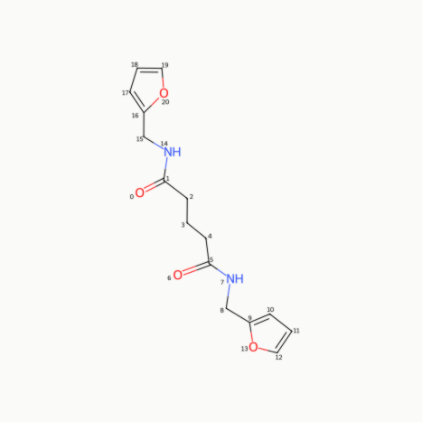 O=C(CCCC(=O)NCc1ccco1)NCc1ccco1